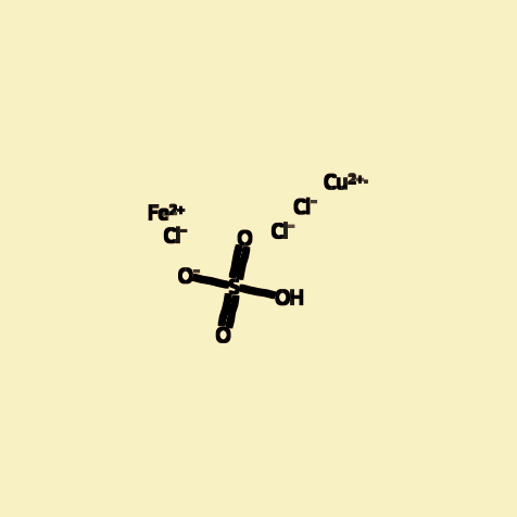 O=S(=O)([O-])O.[Cl-].[Cl-].[Cl-].[Cu+2].[Fe+2]